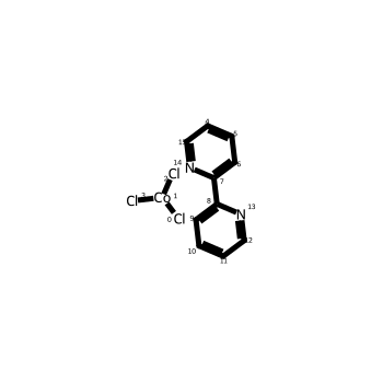 [Cl][Co]([Cl])[Cl].c1ccc(-c2ccccn2)nc1